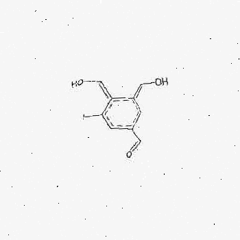 O=Cc1cc(I)c(=CO)c(=CO)c1